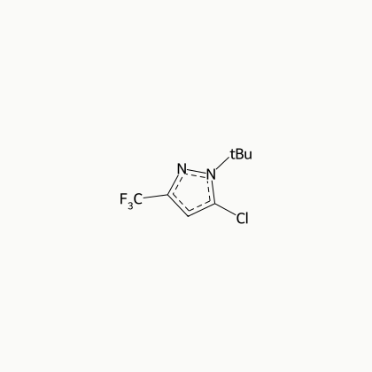 CC(C)(C)n1nc(C(F)(F)F)cc1Cl